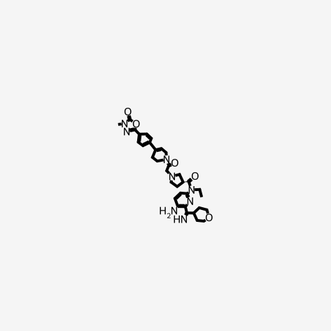 CCN(C(=O)[C@@H]1CCN(CC(=O)N2CC=C(c3ccc(-c4nn(C)c(=O)o4)cc3)CC2)C1)c1ccc(N)c(C(=N)C2CCOCC2)n1